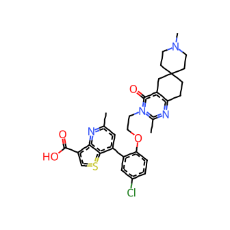 Cc1cc(-c2cc(Cl)ccc2OCCn2c(C)nc3c(c2=O)CC2(CC3)CCN(C)CC2)c2scc(C(=O)O)c2n1